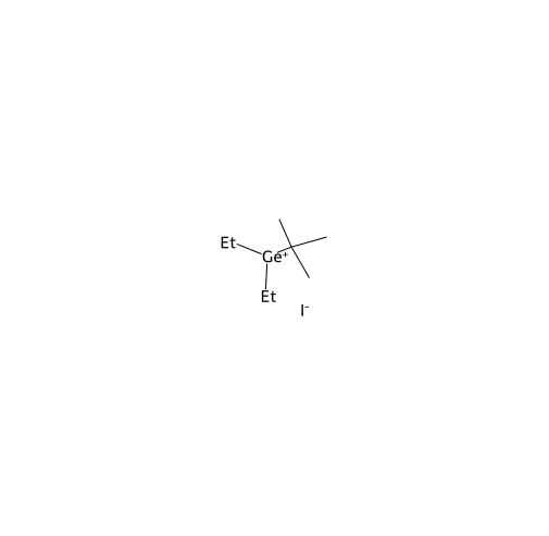 C[CH2][Ge+]([CH2]C)[C](C)(C)C.[I-]